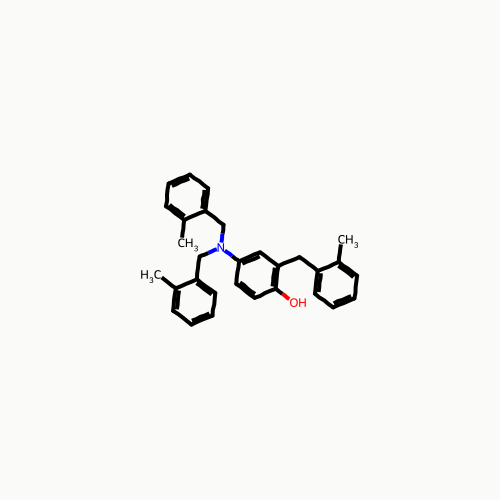 Cc1ccccc1Cc1cc(N(Cc2ccccc2C)Cc2ccccc2C)ccc1O